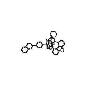 C1=CCCC(c2nc(-c3ccc(-c4ccc5ccccc5c4)cc3)nc(-c3cccc4oc5cccc(-c6cccc7ccccc67)c5c34)n2)=C1